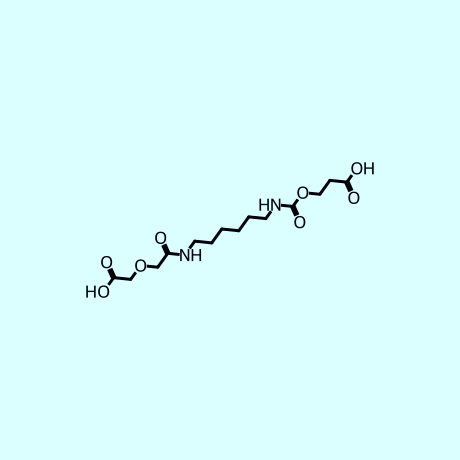 O=C(O)CCOC(=O)NCCCCCCNC(=O)COCC(=O)O